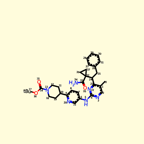 Cc1cnc(Nc2ccc(C3CCN(C(=O)OC(C)(C)C)CC3)nc2)nc1C(Cc1ccccc1)C1(C(N)=O)CC1